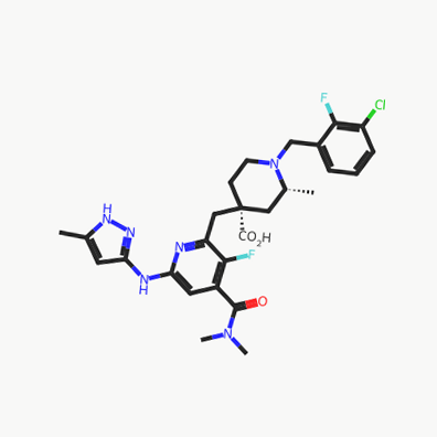 Cc1cc(Nc2cc(C(=O)N(C)C)c(F)c(C[C@@]3(C(=O)O)CCN(Cc4cccc(Cl)c4F)[C@H](C)C3)n2)n[nH]1